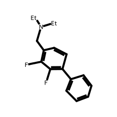 CCN(CC)Cc1ccc(-c2ccccc2)c(F)c1F